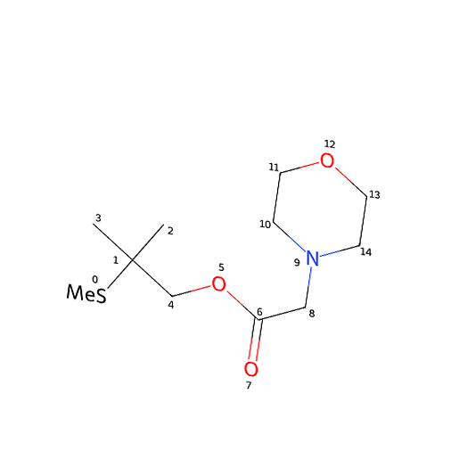 CSC(C)(C)COC(=O)CN1CCOCC1